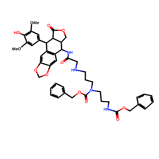 COc1cc(C2c3cc4c(cc3C(NC(=O)CNCCCN(CCCNC(=O)OCc3ccccc3)C(=O)OCc3ccccc3)C3COC(=O)C23)OCO4)cc(OC)c1O